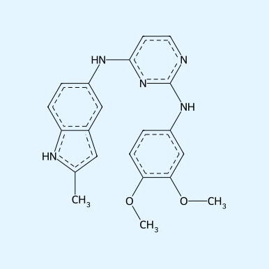 COc1ccc(Nc2nccc(Nc3ccc4[nH]c(C)cc4c3)n2)cc1OC